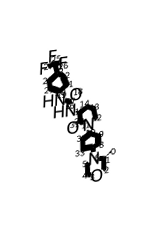 C[C@@H]1COCCN1c1ccc(N2CCC[C@@H](NC(=O)Nc3ccc(C(F)(F)F)cc3)C2=O)cc1